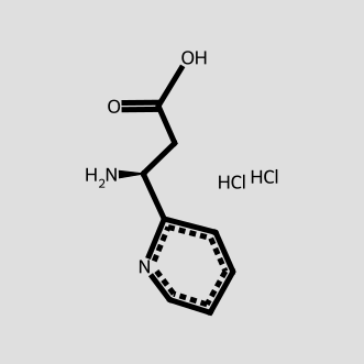 Cl.Cl.N[C@@H](CC(=O)O)c1ccccn1